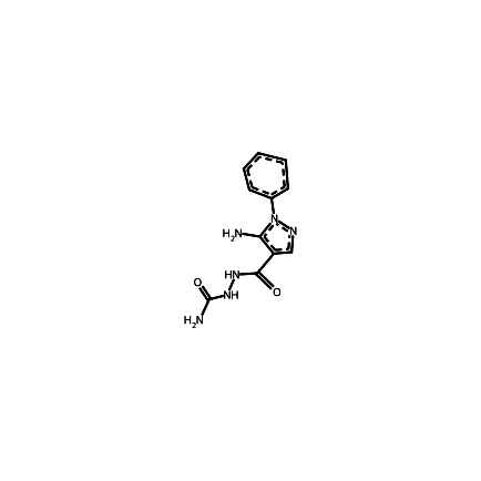 NC(=O)NNC(=O)c1cnn(-c2ccccc2)c1N